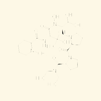 CCN(CC)C(=O)[C@@H]1CCCN1C(=O)[C@@H]1CCCN1C[C@H](C(C)C)N(C)C(=O)[C@@H](NC(=O)C1CCCCN1C)C(C)(C)C